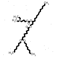 CCCCCCCCCCCCC(CCOC(=O)CCCCCCC(OCCCCCCCC)OCCCCCCCC)OC(=O)OCCCN(CC)CC